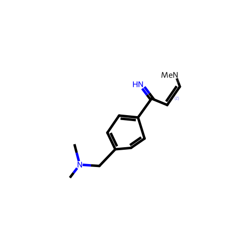 CN/C=C\C(=N)c1ccc(CN(C)C)cc1